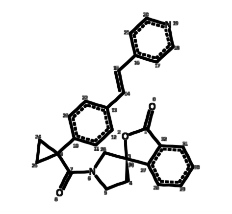 O=C1O[C@]2(CCN(C(=O)C3(c4ccc(C=Cc5ccncc5)cc4)CC3)C2)c2ccccc21